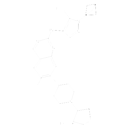 Cc1c(Nc2ncc3cc(Cl)c(C4CCN(C5COC[C@@H]5O)CC4)cc3n2)cnn1C12CC(C1)C2